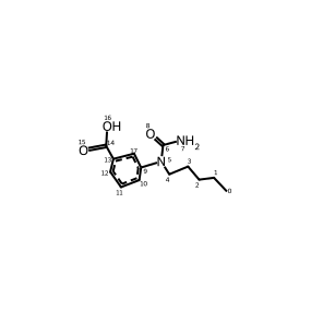 CCCCCN(C(N)=O)c1cccc(C(=O)O)c1